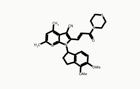 COc1ccc2c(c1OC)CCC2n1c(/C=C/C(=O)N2CCSCC2)c(C#N)c2c(C)cc(C)nc21